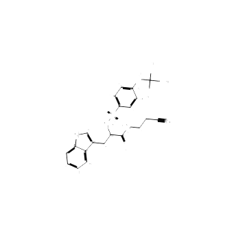 N#CCCNC(=O)C(Cc1c[nH]c2ccccc12)NS(=O)(=O)c1ccc(OC(F)(F)F)cc1